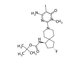 Cn1c(N2CCC3(CC2)C[C@H](F)C[C@H]3NC(=O)OC(C)(C)C)nc(N)c(I)c1=O